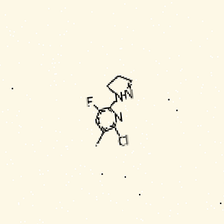 Cc1cc(F)c(N2CCC=N2)nc1Cl